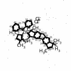 CC1=CC(C)[C]([Zr+2]([C]2=C(C)c3cc4c(cc3C2(C)C)Cc2cc3c(cc2-4)C(C)=CC3(C)C)=[C](c2ccccc2)c2ccccc2)=C1C.[Cl-].[Cl-]